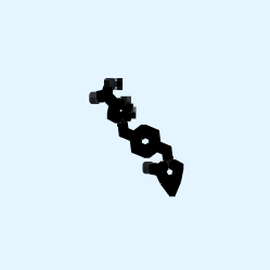 O=C(O)c1cn(Cc2ccc(CN3CC4CC4C3=O)cc2)nn1